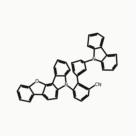 N#Cc1cccc(-n2c3ccccc3c3c4oc5ccccc5c4ccc32)c1-c1cccc(-n2c3ccccc3c3ccccc32)c1